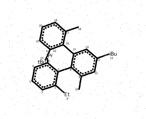 CCc1cccc(C(C)C)c1-c1c(C)[c]c(C(C)CC)cc1-c1c(C)cccc1C(C)(C)C